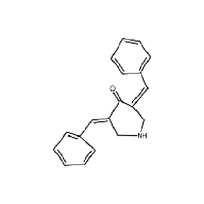 O=C1/C(=C\c2ccccc2)CNC/C1=C\c1ccccc1